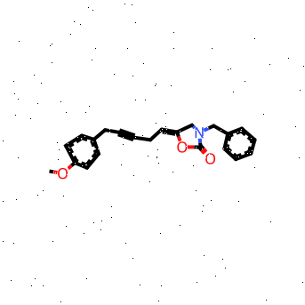 COc1ccc(CC#CCC=C2CN(Cc3ccccc3)C(=O)O2)cc1